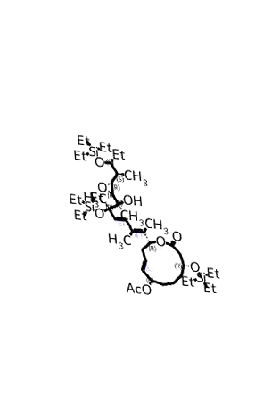 CC[C@H](O[Si](CC)(CC)CC)[C@@H](C)[C@H]1O[C@H]1[C@@](C)(O)[C@@](C)(/C=C/C(C)=C(\C)[C@H]1C/C=C/[C@H](OC(C)=O)CCC[C@@H](O[Si](CC)(CC)CC)CC(=O)O1)O[Si](CC)(CC)CC